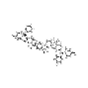 CCC1(c2cc(C)c(N(c3ccc(C)cc3)c3ccc(C)cc3)cc2C)Cc2cc3c(cc21)C(C)(C)c1cc2c(cc1-3)C2(CC)c1cc(C)c(N(c2ccc(C)cc2)c2ccc(C)cc2)cc1C